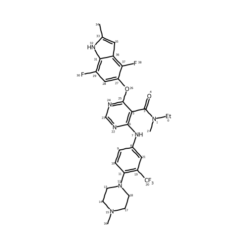 CCN(C)C(=O)c1c(Nc2ccc(N3CCN(C)CC3)c(C(F)(F)F)c2)ncnc1Oc1cc(F)c2[nH]c(C)cc2c1F